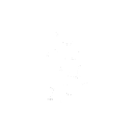 CC(C)N(Cc1ccc(F)c(Br)c1)C(=O)c1nc[nH]n1